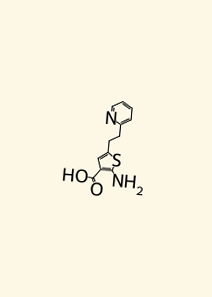 Nc1sc(CCc2ccccn2)cc1C(=O)O